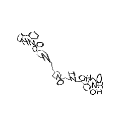 O=C(Nc1ccccc1-c1ccccc1)OC1CCN(CCC2CCN(C(=O)CCNCC(O)c3ccc(O)c4[nH]c(=O)ccc34)CC2)CC1